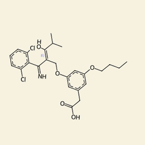 CCCCOc1cc(CC(=O)O)cc(OC/C(C(=N)c2c(Cl)cccc2Cl)=C(/O)C(C)C)c1